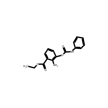 CCOC(=O)c1cccc(OC(=O)Nc2ccccc2)c1N